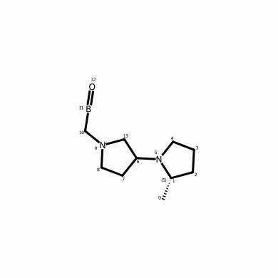 C[C@H]1CCCN1C1CCN(CB=O)C1